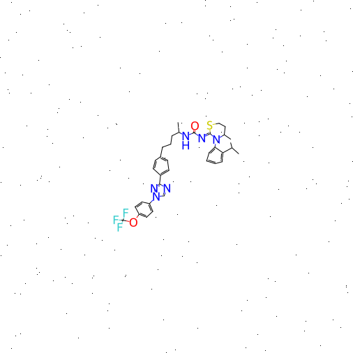 CC(CCCc1ccc(-c2ncn(-c3ccc(OC(F)(F)F)cc3)n2)cc1)NC(=O)/N=C1\SCCC(C)N1c1ccccc1C(C)C